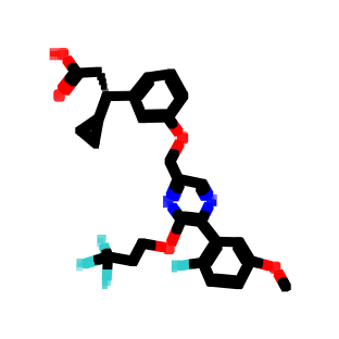 COc1ccc(F)c(-c2ncc(COc3cccc([C@@H](CC(=O)O)C4CC4)c3)nc2OCCC(F)(F)F)c1